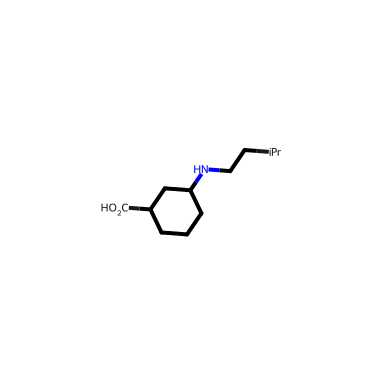 CC(C)CCNC1CCCC(C(=O)O)C1